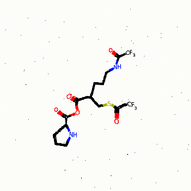 O=C(OC(=O)[C@@H]1CCCN1)C(CCCNC(=O)C(F)(F)F)CSC(=O)C(F)(F)F